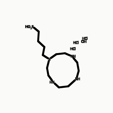 Cl.Cl.Cl.Cl.O=S(=O)(O)CCCCN1CCNCCNCCNCC1